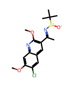 COc1cc2nc(OC)c(C(C)=N[S+]([O-])C(C)(C)C)cc2cc1Cl